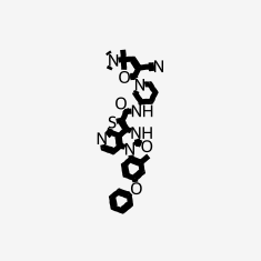 Cc1cc(Oc2ccccc2)ccc1N1C(=O)Nc2c(C(=O)N[C@@H]3CCCN(C(=O)/C(C#N)=C\C(C)(C)N(C)C)C3)sc3nccc1c23